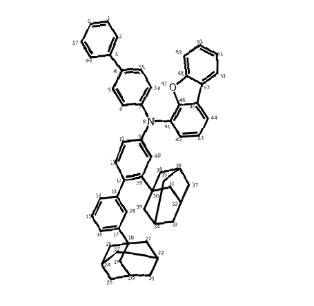 c1ccc(-c2ccc(N(c3ccc(-c4cccc(C56CC7CC(CC(C7)C5)C6)c4)c(C45CC6CC(CC(C6)C4)C5)c3)c3cccc4c3oc3ccccc34)cc2)cc1